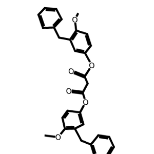 COc1ccc(OC(=O)CC(=O)Oc2ccc(OC)c(Cc3ccccc3)c2)cc1Cc1ccccc1